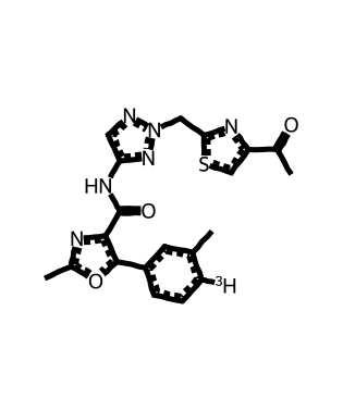 [3H]c1ccc(-c2oc(C)nc2C(=O)Nc2cnn(Cc3nc(C(C)=O)cs3)n2)cc1C